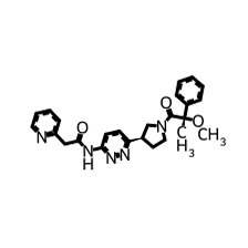 CO[C@](C)(C(=O)N1CC[C@@H](c2ccc(NC(=O)Cc3ccccn3)nn2)C1)c1ccccc1